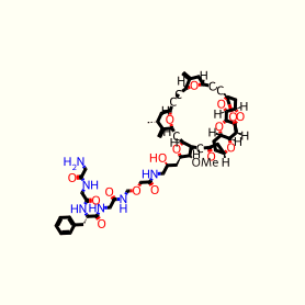 C=C1C[C@@H]2CC[C@@]34C[C@H]5OC6C(O[C@H]7CC[C@H](CC(=O)C[C@@H]8[C@@H](OC)[C@@H](C[C@H](O)CNC(=O)COCNC(=O)CNC(=O)[C@H](Cc9ccccc9)NC(=O)CNC(=O)CN)O[C@H]8C[C@H]8O[C@@H](CC[C@@H]1O2)C[C@@H](C)C8=C)O[C@@H]7[C@@H]6O3)[C@H]5O4